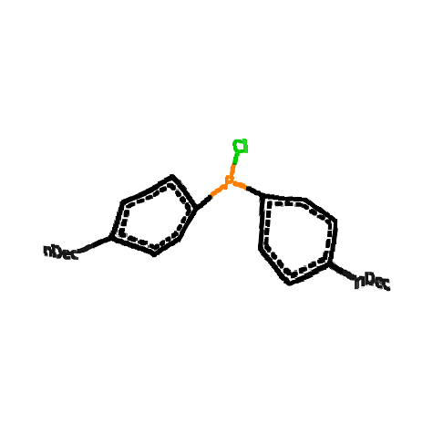 CCCCCCCCCCc1ccc(P(Cl)c2ccc(CCCCCCCCCC)cc2)cc1